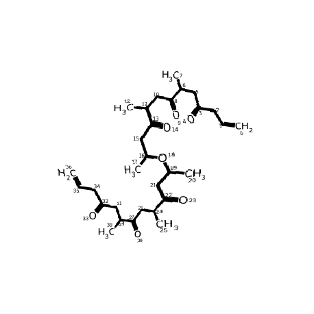 C=CCC(=O)CC(C)C(=O)CC(C)C(=O)CC(C)OC(C)CC(=O)C(C)CC(=O)C(C)CC(=O)CC=C